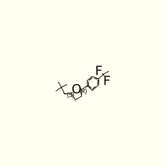 CC(C)(C)C[C@@H]1CC[C@H](c2ccc(C(C)(F)F)cc2)O1